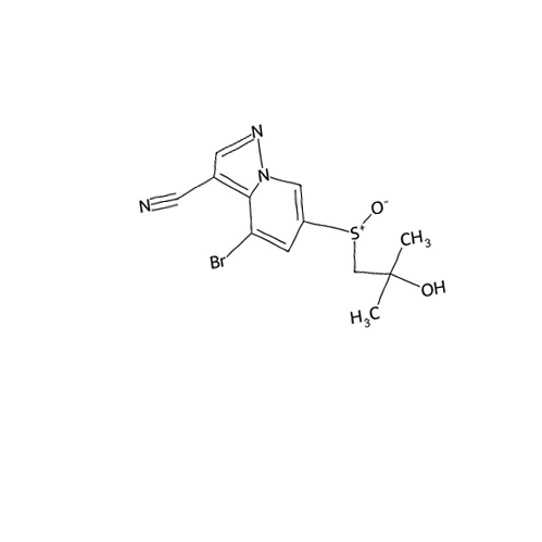 CC(C)(O)C[S+]([O-])c1cc(Br)c2c(C#N)cnn2c1